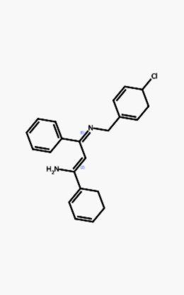 N/C(=C\C(=N/CC1=CCC(Cl)C=C1)c1ccccc1)C1=CC=CCC1